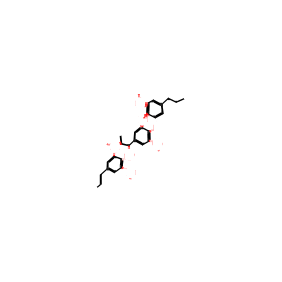 CCCc1ccc(Oc2cc(C(CC)Oc3c(OC)cc(CCC)cc3OC)cc(OC)c2O)c(OC)c1